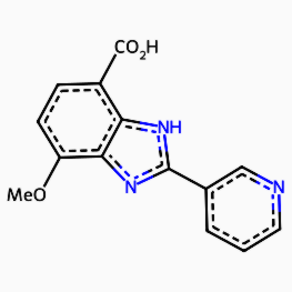 COc1ccc(C(=O)O)c2[nH]c(-c3cccnc3)nc12